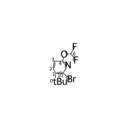 CC(C)(C)c1ccc(OC(F)F)nc1Br